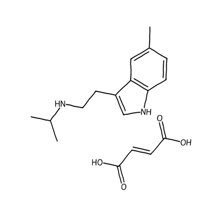 Cc1ccc2[nH]cc(CCNC(C)C)c2c1.O=C(O)/C=C/C(=O)O